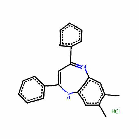 Cc1cc2c(cc1C)NC(c1ccccc1)=CC(c1ccccc1)=N2.Cl